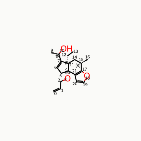 C=CCO[C@]12CC=C([C@@H](C)O)[C@@]1(CC)C[C@@H](C)c1occc12